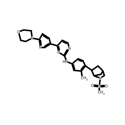 Cc1cc(Nc2nccc(-c3ccc(N4CCOCC4)nc3)n2)ccc1C1CC2CC1N(S(C)(=O)=O)C2